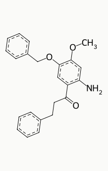 COc1cc(N)c(C(=O)CCc2ccccc2)cc1OCc1ccccc1